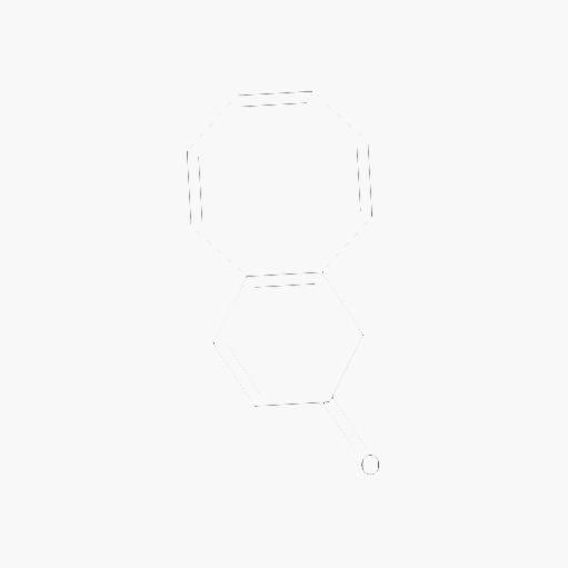 O=C1C=CC2=C(C=CC=CC=C2)C1